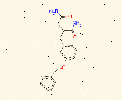 NC(=O)CC(Cc1cccc(OCc2ccccc2)c1)C(N)=O